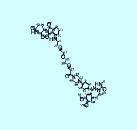 CNC(=O)N1N=C(c2ccc(N3CCN(C(=O)CCOCCOCCOCCNc4cccc5c4C(=O)N([C@@H]4CCC(=O)NC4=O)C5=O)CC3)cc2)c2cc(OC)c(OC)cc2C[C@@H]1C